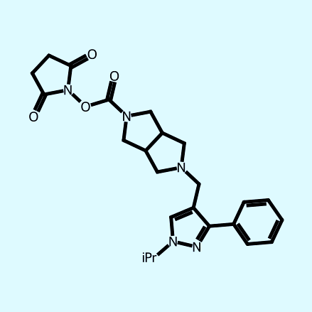 CC(C)n1cc(CN2CC3CN(C(=O)ON4C(=O)CCC4=O)CC3C2)c(-c2ccccc2)n1